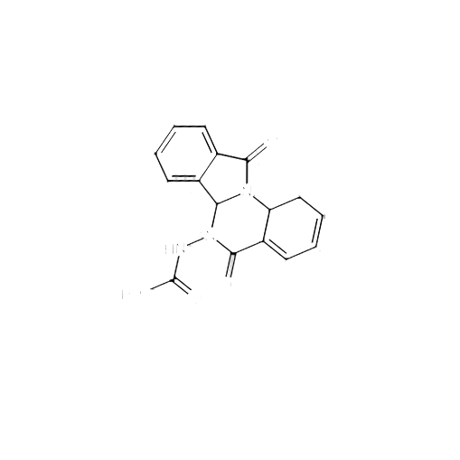 CC(=O)NN1C(=O)C2=CC=CCC2N2C(=O)c3ccccc3C12